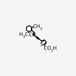 CC1=C(C=CC#Cc2ccc(C(=O)O)s2)C(C)(C)CCC1